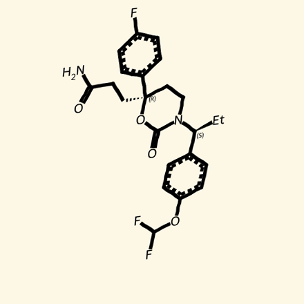 CC[C@@H](c1ccc(OC(F)F)cc1)N1CC[C@](CCC(N)=O)(c2ccc(F)cc2)OC1=O